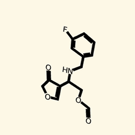 O=COCC(NCc1cccc(F)c1)C1=COCC1=O